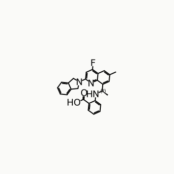 Cc1cc([C@@H](C)Nc2ccccc2C(=O)O)c2nc(N3Cc4ccccc4C3)cc(F)c2c1